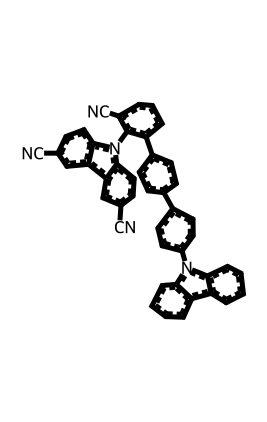 N#Cc1ccc2c(c1)c1cc(C#N)ccc1n2-c1c(C#N)cccc1-c1ccc(-c2ccc(-n3c4ccccc4c4ccccc43)cc2)cc1